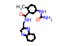 Cc1ccc(NC(N)=O)cc1C(=O)NCc1cnc2ccccc2n1